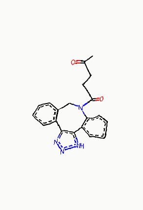 CC(=O)CCC(=O)N1Cc2ccccc2-c2nn[nH]c2-c2ccccc21